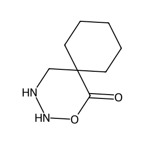 O=C1ONNCC12CCCCC2